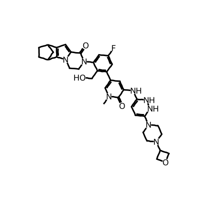 Cn1cc(-c2cc(F)cc(N3CCn4c(cc5c4C4CCC5C4)C3=O)c2CO)cc(NC2=CC=C(N3CCN(C4COC4)CC3)NN2)c1=O